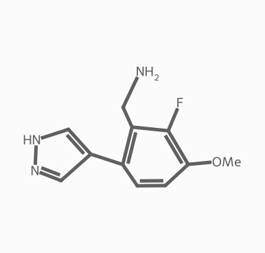 COc1ccc(-c2cn[nH]c2)c(CN)c1F